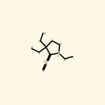 C=C=C1N(CC)CCC1(CC)CC